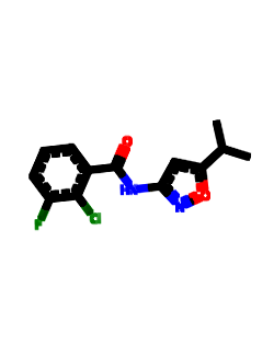 CC(C)c1cc(NC(=O)c2cccc(F)c2Cl)no1